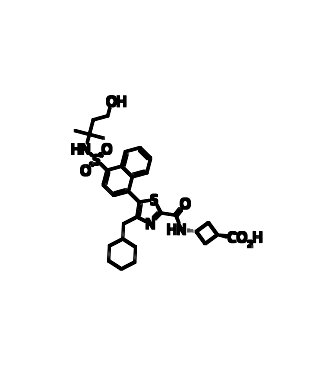 CC(C)(CCO)NS(=O)(=O)c1ccc(-c2sc(C(=O)N[C@H]3C[C@H](C(=O)O)C3)nc2CC2CCCCC2)c2ccccc12